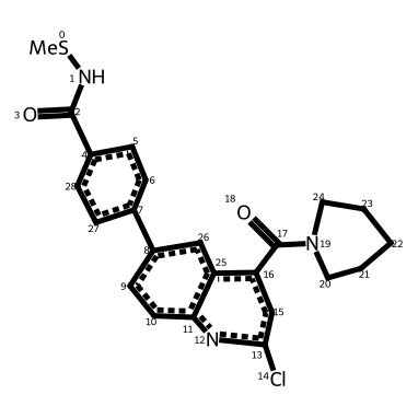 CSNC(=O)c1ccc(-c2ccc3nc(Cl)cc(C(=O)N4CCCCC4)c3c2)cc1